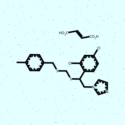 Cc1ccc(CSCSC(Cn2ccnc2)c2ccc(Cl)cc2Cl)cc1.O=C(O)C=CC(=O)O